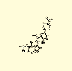 CCOc1nc(N2CCN(C(C)=O)CC2)ccc1NC(=O)c1coc2c1C(=O)N(C[C@@H](C)O)CC2